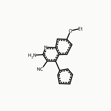 CCOc1ccc2c(-c3ccccc3)c(C#N)c(N)nc2c1